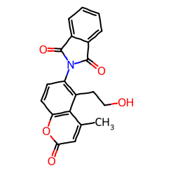 Cc1cc(=O)oc2ccc(N3C(=O)c4ccccc4C3=O)c(CCO)c12